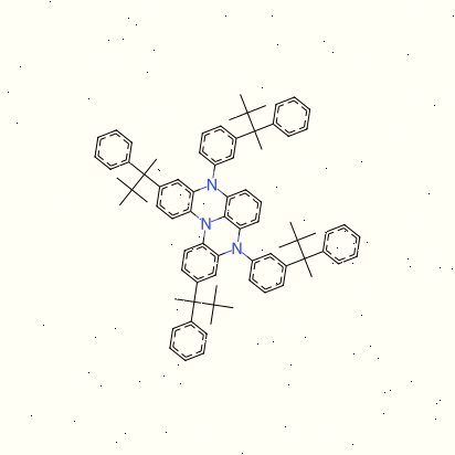 CC(C)(C)C(C)(c1ccccc1)c1cccc(N2c3cc(C(C)(c4ccccc4)C(C)(C)C)ccc3N3c4ccc(C(C)(c5ccccc5)C(C)(C)C)cc4N(c4cccc(C(C)(c5ccccc5)C(C)(C)C)c4)c4cccc2c43)c1